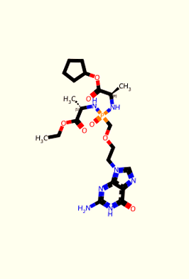 CCOC(=O)[C@H](C)NP(=O)(COCCn1cnc2c(=O)[nH]c(N)nc21)N[C@H](C)C(=O)OC1CCCC1